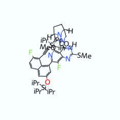 COc1nc(-c2cc(O[Si](C(C)C)(C(C)C)C(C)C)cc3ccc(F)c(C#C[Si](C(C)C)(C(C)C)C(C)C)c23)c(F)c2nc(SC)nc(N3C[C@H]4CC[C@@H](C3)N4C(=O)O)c12